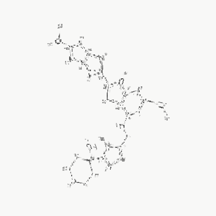 COc1cc(OCc2csc(C3(O)CCOCC3)n2)c2cc(-c3cn4nc(OC)sc4n3)oc2c1